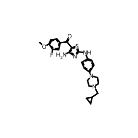 COc1ccc(C(=O)c2sc(Nc3ccc(N4CCN(CC5CC5)CC4)cc3)nc2N)cc1F